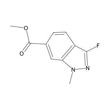 COC(=O)c1ccc2c(F)nn(C)c2c1